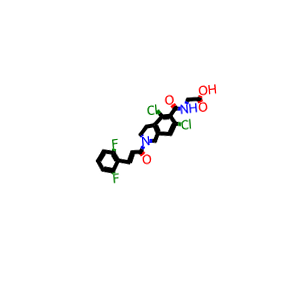 O=C(O)CNC(=O)c1c(Cl)cc2c(c1Cl)CCN(C(=O)/C=C/c1c(F)cccc1F)C2